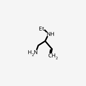 C=CC(CN)NCC